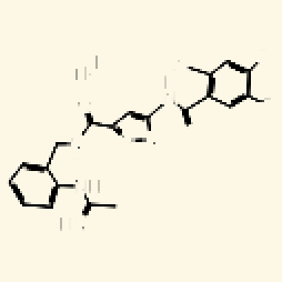 CC(=N)Nc1ccccc1CNC(=O)c1cc(NC(=O)c2cc(F)c(F)cc2Cl)[nH]n1.Cl.Cl